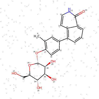 Cc1cc(-c2cccc3c(=O)[nH]ccc23)ccc1O[C@H]1O[C@H](CO)[C@@H](O)[C@H](O)[C@@H]1O